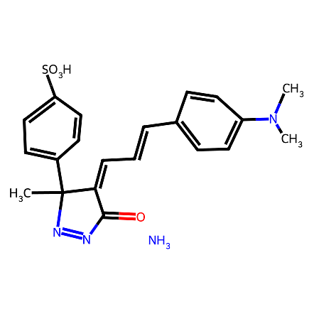 CN(C)c1ccc(C=CC=C2C(=O)N=NC2(C)c2ccc(S(=O)(=O)O)cc2)cc1.N